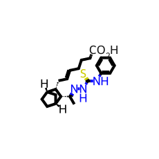 CC(=NNC(=S)Nc1ccccc1)[C@@H]1[C@@H]2CC[C@@H](C2)[C@@H]1CC=CCCCC(=O)O